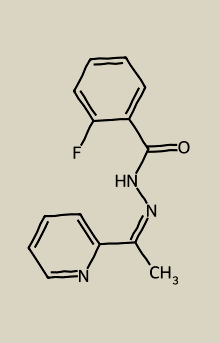 CC(=NNC(=O)c1ccccc1F)c1ccccn1